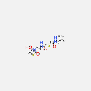 O=C(CSCC(=O)NCC1CCC1)NCCN1C(=O)SCC1O